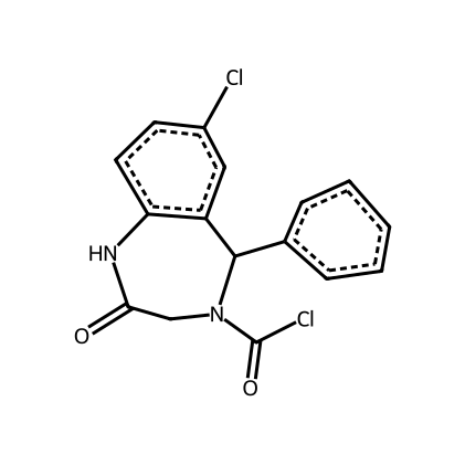 O=C1CN(C(=O)Cl)C(c2ccccc2)c2cc(Cl)ccc2N1